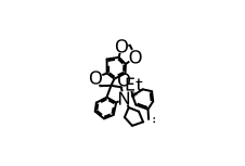 [CH]C1=CC(CC)([N+]2(C3CCCC3)C(=O)C3(COc4cc5c(cc43)OCO5)c3ccccc32)CC=C1